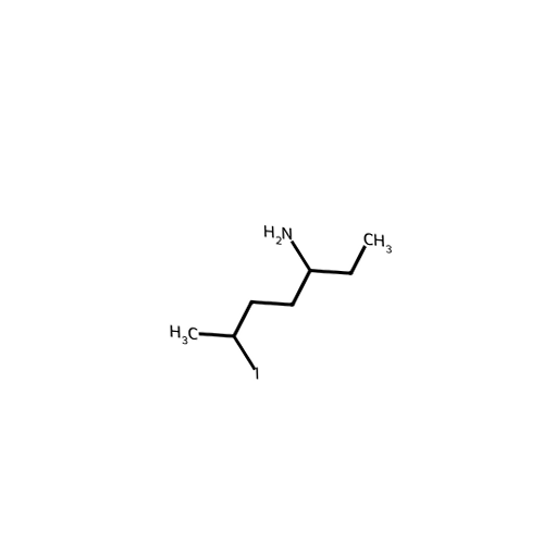 CCC(N)CCC(C)I